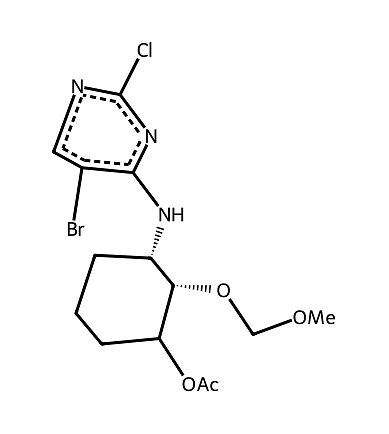 COCO[C@@H]1C(OC(C)=O)CCC[C@@H]1Nc1nc(Cl)ncc1Br